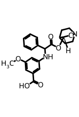 COc1cc(NC(C(=O)O[C@H]2CN3CCC2CC3)c2ccccc2)cc(C(=O)O)c1